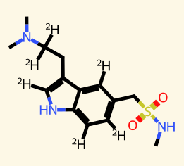 [2H]c1[nH]c2c([2H])c([2H])c(CS(=O)(=O)NC)c([2H])c2c1CC([2H])([2H])N(C)C